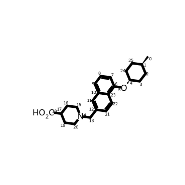 C[C@H]1CC[C@H](Oc2cccc3cc(CN4CCC(C(=O)O)CC4)ccc23)CC1